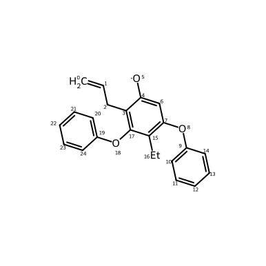 C=CCc1c([O])cc(Oc2ccccc2)c(CC)c1Oc1ccccc1